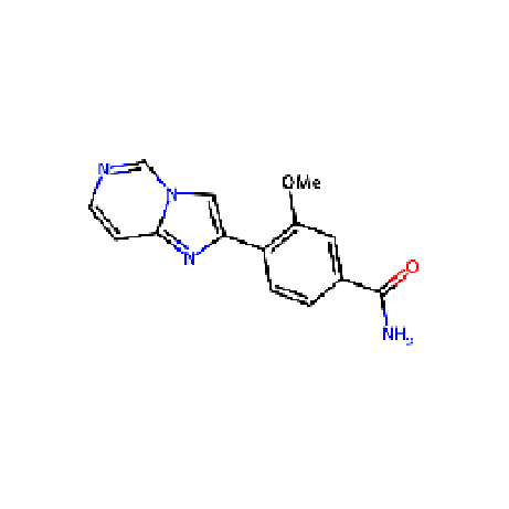 COc1cc(C(N)=O)ccc1-c1cn2cnccc2n1